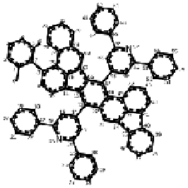 Cc1cccc(C)c1-c1ccc2c3c(-c4cc(-c5ccccc5)nc(-c5ccccc5)c4)c4cc5c6ccccc6c6cccc(c4c(-c4cc(-c7ccccc7)nc(-c7ccccc7)c4)c3c3cc4ccccc4c1c23)c65